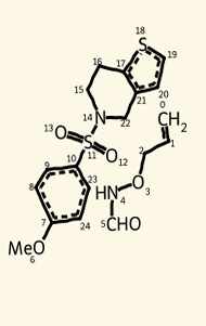 C=CCONC=O.COc1ccc(S(=O)(=O)N2CCc3sccc3C2)cc1